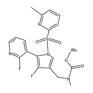 Cc1cccc(S(=O)(=O)n2cc(CN(C)C(=O)OC(C)(C)C)c(F)c2-c2cccnc2F)n1